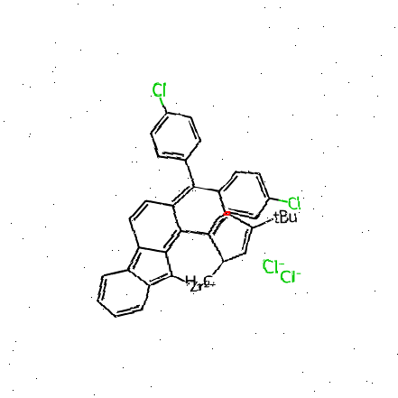 CC1C=C(C(C)(C)C)C=C1c1c2c(ccc1=C(c1ccc(Cl)cc1)c1ccc(Cl)cc1)=c1ccccc1=[C]2[Zr+2].[Cl-].[Cl-]